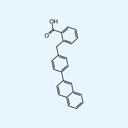 O=C(O)c1ccccc1Cc1ccc(-c2ccc3ccccc3c2)cc1